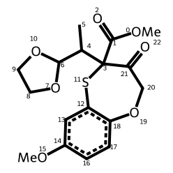 COC(=O)C1(C(C)C2OCCO2)Sc2cc(OC)ccc2OCC1=O